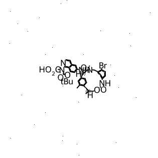 Cc1cc2ccc1[C@@H](C)COC(=O)Nc1ccc(Br)c(c1)CN(C)C(=O)[C@@H]2Nc1ccc2c(N(C(=O)O)C(=O)OC(C)(C)C)nccc2c1